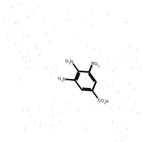 O=C(O)c1cc([N+](=O)[O-])c([N+](=O)[O-])c([N+](=O)[O-])c1